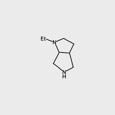 CCN1CCC2CNCC21